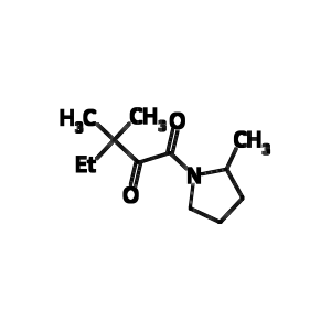 CCC(C)(C)C(=O)C(=O)N1CCCC1C